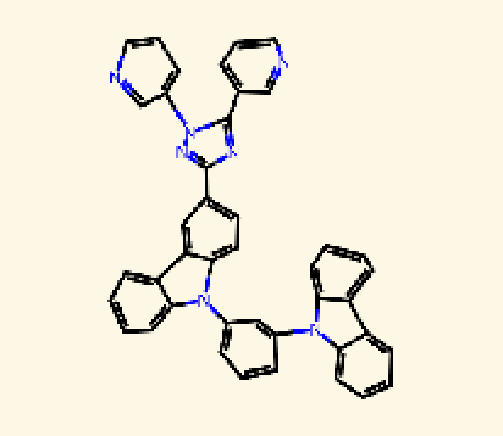 c1cncc(-c2nc(-c3ccc4c(c3)c3ccccc3n4-c3cccc(-n4c5ccccc5c5ccccc54)c3)nn2-c2cccnc2)c1